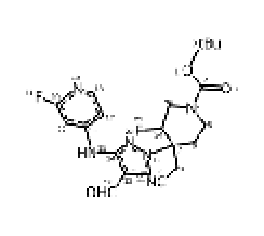 CC(C)(C)OC(=O)N1CCC(CC#N)(n2cc(C=O)c(Nc3ccnc(F)c3)n2)C(F)C1